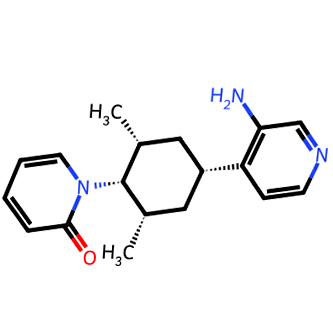 C[C@@H]1C[C@H](c2ccncc2N)C[C@H](C)[C@@H]1n1ccccc1=O